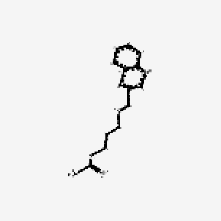 N=C(N)NCCCSCc1cnc2ccccc2c1